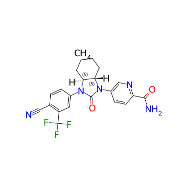 C.N#Cc1ccc(N2C(=O)N(c3ccc(C(N)=O)nc3)[C@H]3CCCC[C@@H]32)cc1C(F)(F)F